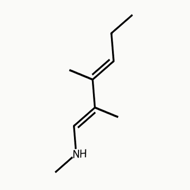 CC/C=C(C)/C(C)=C/NC